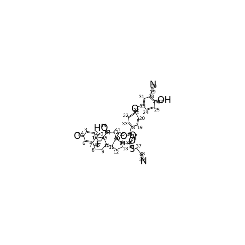 C[C@]12C=CC(=O)C=C1CCC1C3CC[C@](OC(=O)c4ccc(Oc5ccc(O)c(C#N)c5)cc4)(C(=O)SCC#N)[C@@]3(C)C[C@H](O)C12F